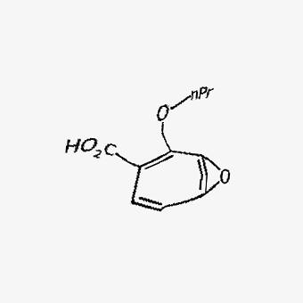 CCCOc1c(C(=O)O)ccc2c1O2